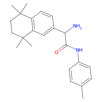 [CH2]c1ccc(NC(=O)C(N)c2ccc3c(c2)C(C)(C)CCC3(C)C)cc1